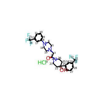 Cl.O=C(CN1CCN(c2cccc(C(F)(F)F)c2)CC1)N1CCC(O)(c2cccc(C(F)(F)F)c2)CC1